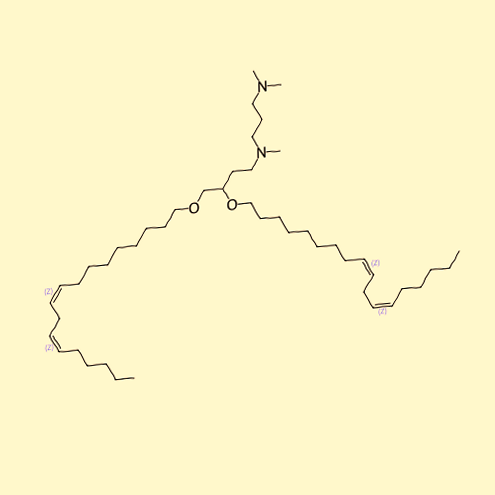 CCCCC/C=C\C/C=C\CCCCCCCCOCC(CCN(C)CCCN(C)C)OCCCCCCCC/C=C\C/C=C\CCCCC